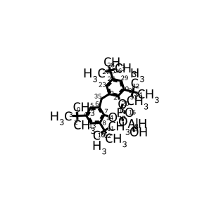 CC(C)(C)c1cc2c(c(C(C)(C)C)c1)OP(=O)([O][AlH][OH])Oc1c(cc(C(C)(C)C)cc1C(C)(C)C)C2